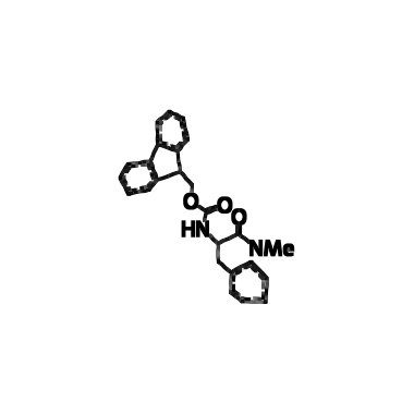 CNC(=O)C(Cc1ccccc1)NC(=O)OCC1c2ccccc2-c2ccccc21